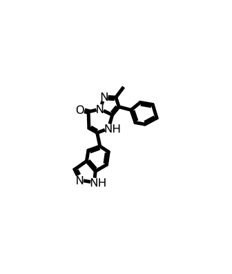 Cc1nn2c(=O)cc(-c3ccc4[nH]ncc4c3)[nH]c2c1-c1ccccc1